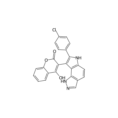 O=c1oc2ccccc2c(O)c1-c1c(-c2ccc(Cl)cc2)[nH]c2ccc3cn[nH]c3c12